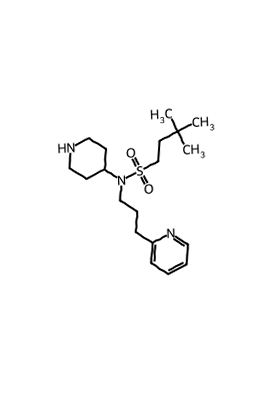 CC(C)(C)CCS(=O)(=O)N(CCCc1ccccn1)C1CCNCC1